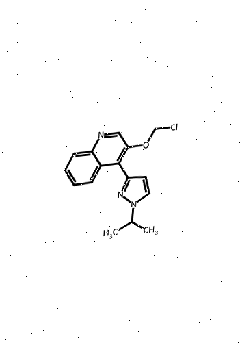 CC(C)n1ccc(-c2c(OCCl)[c]nc3ccccc23)n1